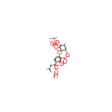 COc1c([C@@H](O)CC(C)C)ccc2c1C(=O)OCc1cc(C)cc(OS(=O)(=O)C(C)C)c1O2